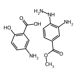 COC(=O)c1ccc(NN)c(N)c1.Nc1ccc(O)c(C(=O)O)c1